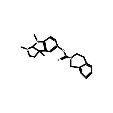 CN1CCC2(C)c3cc(OC(=O)N4CCc5ccccc5C4)ccc3N(C)C12